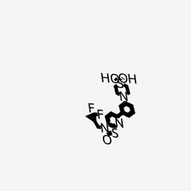 O=c1sc2nc(-c3cccc(N4CCS(O)(O)CC4)c3)ccc2n1CC1CC1(F)F